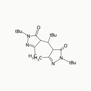 CC1=NN(C(C)(C)C)C(=O)C1C(C1C(=O)N(C(C)(C)C)N=C1C)C(C)(C)C